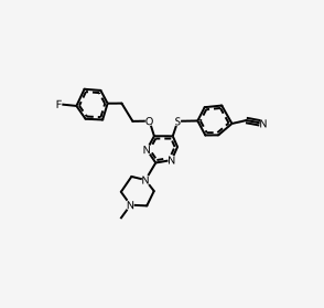 CN1CCN(c2ncc(Sc3ccc(C#N)cc3)c(OCCc3ccc(F)cc3)n2)CC1